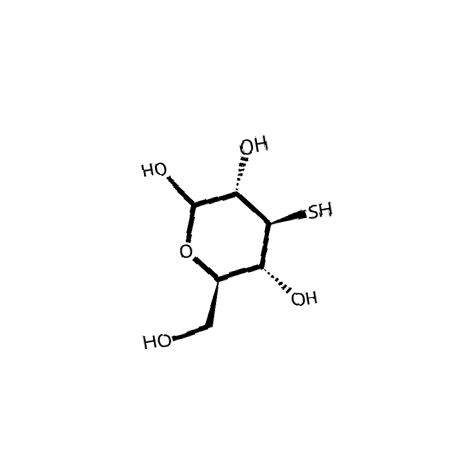 OC[C@H]1OC(O)[C@H](O)[C@@H](S)[C@@H]1O